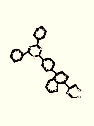 C/C=C(\N=C/N)c1ccc(-c2ccc(C3N=C(c4ccccc4)N=C(c4ccccc4)N3)cc2)c2ccccc12